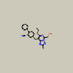 CCCc1nc(COC)n2nc(C)nc2c1Cc1ccc(-c2ccccc2)c(C#N)c1